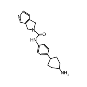 NC1CCC(c2ccc(NC(=O)N3Cc4ccncc4C3)cc2)CC1